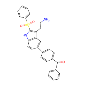 NCCc1c(S(=O)(=O)c2ccccc2)[nH]c2ccc(-c3ccc(C(=O)c4ccccc4)cc3)cc12